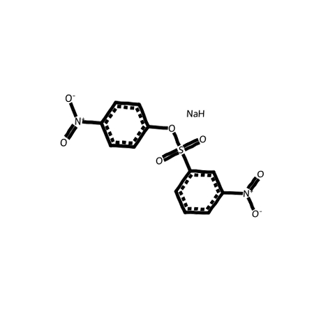 O=[N+]([O-])c1ccc(OS(=O)(=O)c2cccc([N+](=O)[O-])c2)cc1.[NaH]